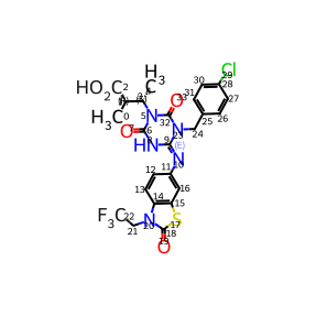 C[C@@H](C(=O)O)[C@H](C)n1c(=O)[nH]/c(=N\c2ccc3c(c2)sc(=O)n3CC(F)(F)F)n(Cc2ccc(Cl)cc2)c1=O